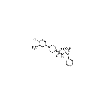 O=C(O)C1(NS(=O)(=O)N2CCN(c3ccc(Cl)c(C(F)(F)F)c3)CC2)C[C@H]1c1ccccc1